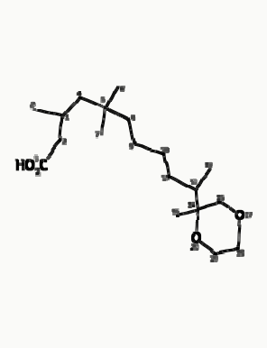 CC(CC(=O)O)CC(C)(C)CCCCC(C)C1(C)COCCO1